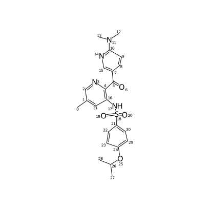 Cc1cnc(C(=O)c2ccc(N(C)C)nc2)c(NS(=O)(=O)c2ccc(OC(C)C)cc2)c1